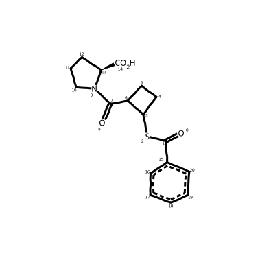 O=C(SC1CCC1C(=O)N1CCC[C@H]1C(=O)O)c1ccccc1